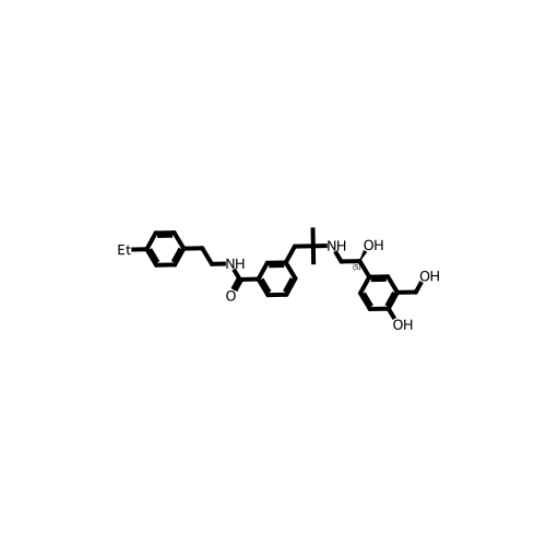 CCc1ccc(CCNC(=O)c2cccc(CC(C)(C)NC[C@@H](O)c3ccc(O)c(CO)c3)c2)cc1